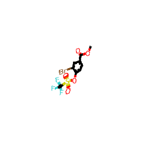 COC(=O)c1ccc(OS(=O)(=O)C(F)(F)F)c(Br)c1